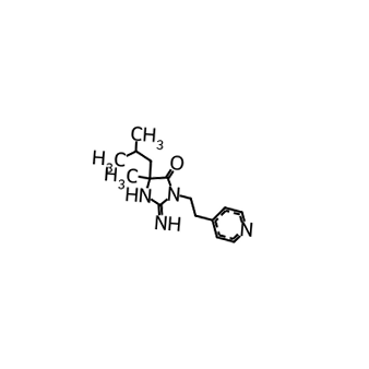 CC(C)CC1(C)NC(=N)N(CCc2ccncc2)C1=O